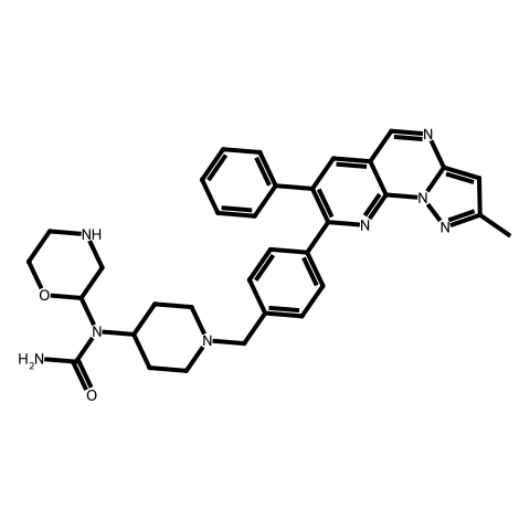 Cc1cc2ncc3cc(-c4ccccc4)c(-c4ccc(CN5CCC(N(C(N)=O)C6CNCCO6)CC5)cc4)nc3n2n1